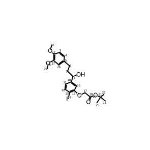 COc1ccc(CC[C@@H](O)c2ccc(F)c(OCC(=O)OC(C)(C)C)c2)cc1OC